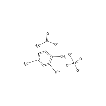 CC(=O)[O-].Cc1ccc(C)[c]([Tl+2])c1.[O-][Cl+3]([O-])([O-])[O-]